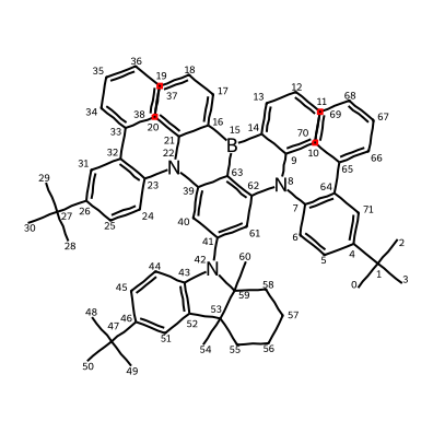 CC(C)(C)c1ccc(N2c3ccccc3B3c4ccccc4N(c4ccc(C(C)(C)C)cc4-c4ccccc4)c4cc(N5c6ccc(C(C)(C)C)cc6C6(C)CCCCC56C)cc2c43)c(-c2ccccc2)c1